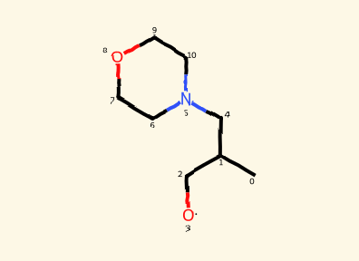 CC(C[O])CN1CCOCC1